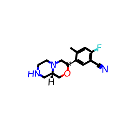 Cc1cc(F)c(C#N)cc1[C@@H]1CN2CCNC[C@H]2CO1